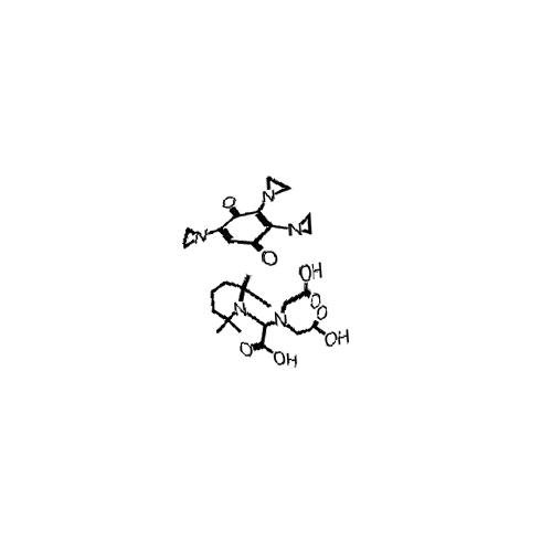 CC1(C)CCCC(C)(C)N1C(C(=O)O)N(CC(=O)O)CC(=O)O.O=C1C=C(N2CC2)C(=O)C(N2CC2)=C1N1CC1